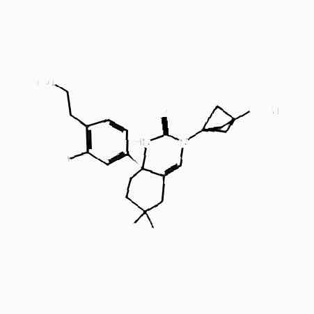 CC(C)(C)CCc1ccc([C@]23CCC(F)(F)CC2=CN(C24CC(C(=O)O)(C2)C4)C(=O)N3)cc1Cl